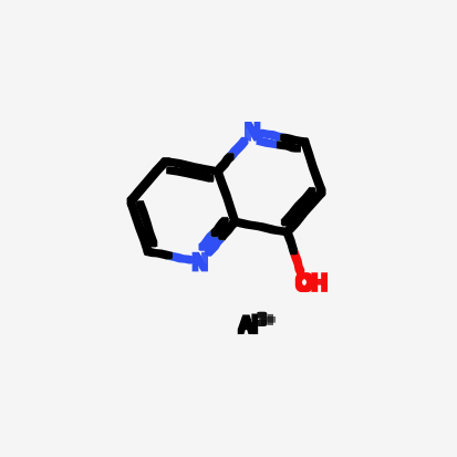 Oc1ccnc2cccnc12.[Al+3]